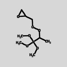 CO[Si](OC)(OC)C(C)OOCC1CO1